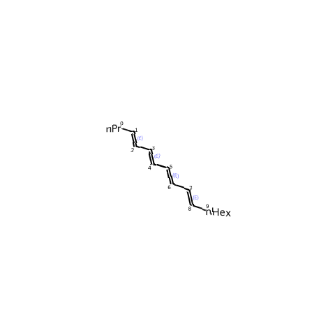 [CH2]CC/C=C/C=C/C=C/C=C/CCCCCC